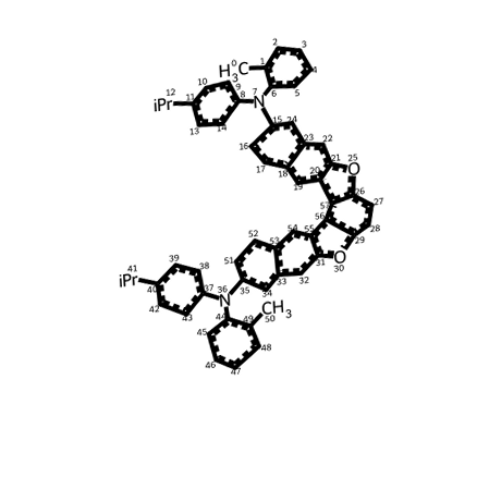 Cc1ccccc1N(c1ccc(C(C)C)cc1)c1ccc2cc3c(cc2c1)oc1ccc2oc4cc5cc(N(c6ccc(C(C)C)cc6)c6ccccc6C)ccc5cc4c2c13